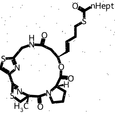 CCCCCCCC(=O)SCC/C=C/[C@@H]1CC(=O)NCc2nc(cs2)C2=N[C@@](C)(CS2)C(=O)N2CCC[C@H]2C(=O)O1